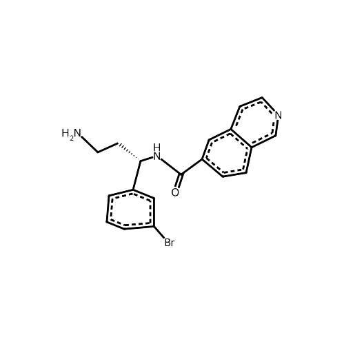 NCC[C@H](NC(=O)c1ccc2cnccc2c1)c1cccc(Br)c1